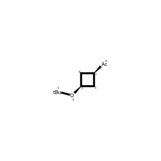 CC(=O)[C@H]1C[C@@H](OC(C)(C)C)C1